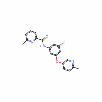 Cc1ccc(Oc2cc(Cl)cc(NC(=O)c3cccc(C)n3)c2)cn1